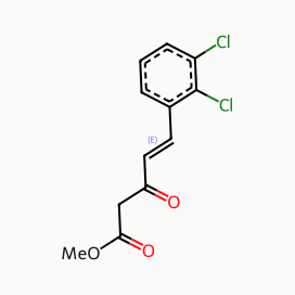 COC(=O)CC(=O)/C=C/c1cccc(Cl)c1Cl